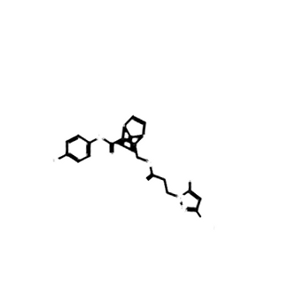 Cc1cc(C)n(CCC(=O)NCC2C(C(=O)Nc3ccc(Br)cc3)C3C=CC2C32CC2)n1